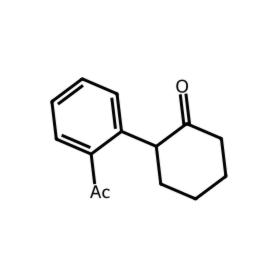 CC(=O)c1ccccc1C1CCCCC1=O